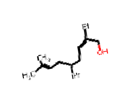 CCC(=CCC(CC=C(C)C)C(C)C)CO